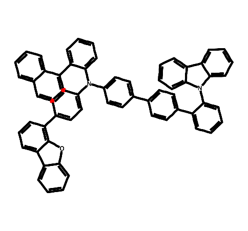 c1ccc(N(c2ccc(-c3ccc(-c4ccccc4-n4c5ccccc5c5ccccc54)cc3)cc2)c2ccc(-c3cccc4c3oc3ccccc34)cc2)c(-c2cccc3ccccc23)c1